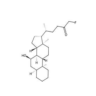 C[C@H](CCC(=O)CF)[C@H]1CC[C@H]2[C@@H]3[C@H](O)C[C@@H]4CCCC[C@]4(C)[C@H]3CC[C@]12C